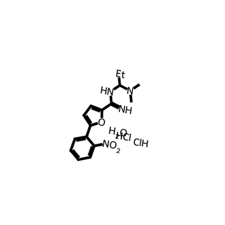 CCC(NC(=N)c1ccc(-c2ccccc2[N+](=O)[O-])o1)N(C)C.Cl.Cl.O